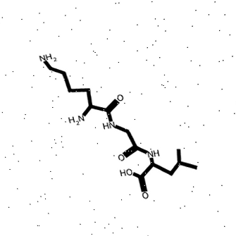 CC(C)CC(NC(=O)CNC(=O)C(N)CCCCN)C(=O)O